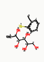 Cc1ccccc1S.O=CC(O)C(O)C(O)C(O)CO